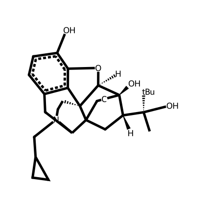 CC(C)(C)[C@@](C)(O)[C@@H]1CC23CC[C@]1(O)[C@@H]1Oc4c(O)ccc5c4[C@@]12CCN(CC1CC1)C3C5